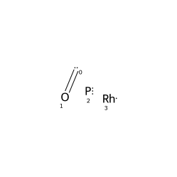 [C]=O.[P].[Rh]